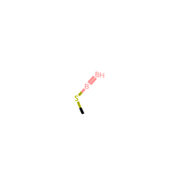 B=BSC